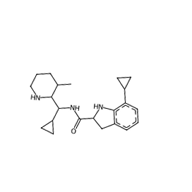 CC1CCCNC1C(NC(=O)C1Cc2cccc(C3CC3)c2N1)C1CC1